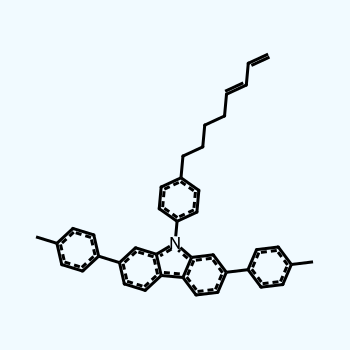 C=C/C=C/CCCCc1ccc(-n2c3cc(-c4ccc(C)cc4)ccc3c3ccc(-c4ccc(C)cc4)cc32)cc1